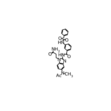 CC(=O)N(C)c1ccc2c(c1)nc(NC(=O)c1cccc(NS(=O)(=O)c3ccccc3)c1)n2CCC(N)=O